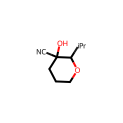 CC(C)C1OCCCC1(O)C#N